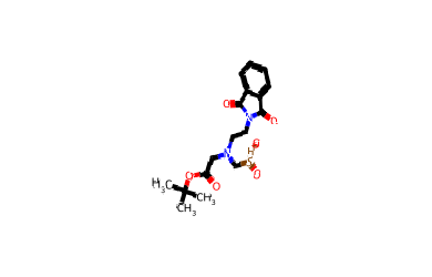 CC(C)(C)OC(=O)CN(CCN1C(=O)c2ccccc2C1=O)C[SH](=O)=O